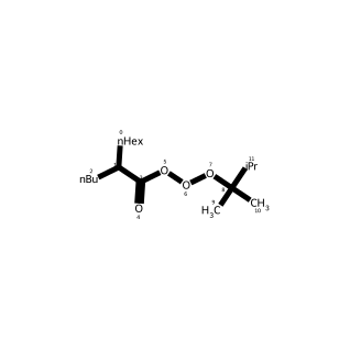 CCCCCCC(CCCC)C(=O)OOOC(C)(C)C(C)C